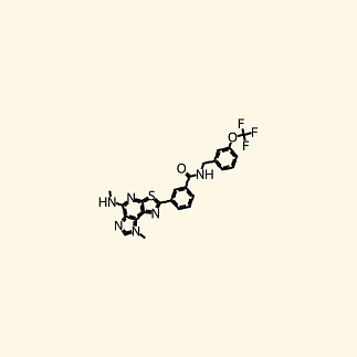 CNc1nc2sc(-c3cccc(C(=O)NCc4cccc(OC(F)(F)F)c4)c3)nc2c2c1ncn2C